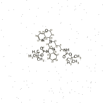 CC(C)(C)OC(=O)NCCCCN(Cc1nc2ccccc2n1C(=O)OC(C)(C)C)C1CCOc2cccnc21